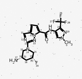 Cn1cc(NC(=O)c2ccc3cnc(N4C[C@@H](N)C[C@@H](F)C4)nn23)c(C(F)(F)F)n1